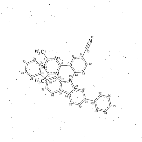 Cc1nc(C)nc(-c2cc(C#N)ccc2-n2c3cc(-c4ccccc4)ccc3c3ccc(-c4ccccc4)cc32)n1